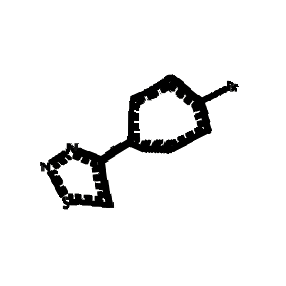 Brc1ccc(-c2csnn2)cc1